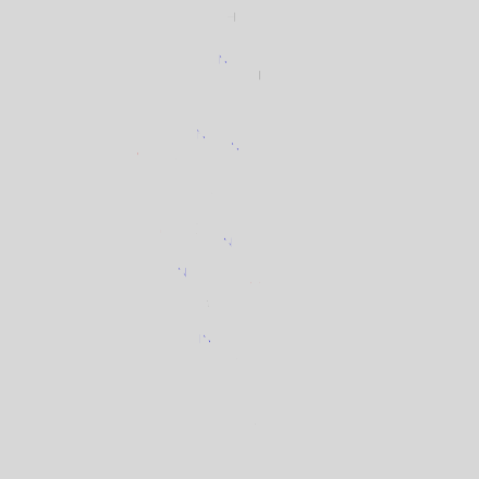 CN(C)CC1COc2c(S(=N)(=O)NC(=O)Nc3c4c(cc5c3CCC5)CCC4)cnn21